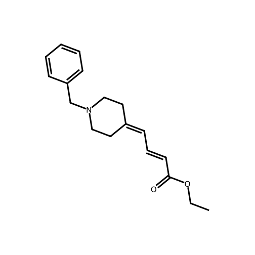 CCOC(=O)C=CC=C1CCN(Cc2ccccc2)CC1